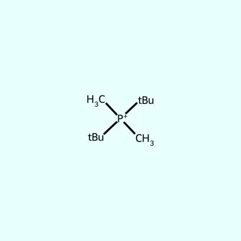 CC(C)(C)[P+](C)(C)C(C)(C)C